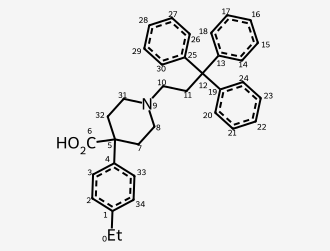 CCc1ccc(C2(C(=O)O)CCN(CCC(c3ccccc3)(c3ccccc3)c3ccccc3)CC2)cc1